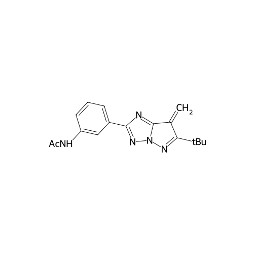 C=c1c(C(C)(C)C)nn2nc(-c3cccc(NC(C)=O)c3)nc12